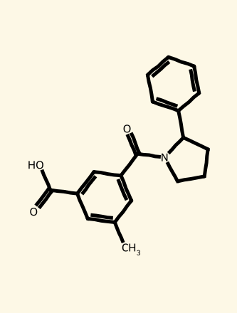 Cc1cc(C(=O)O)cc(C(=O)N2CCCC2c2ccccc2)c1